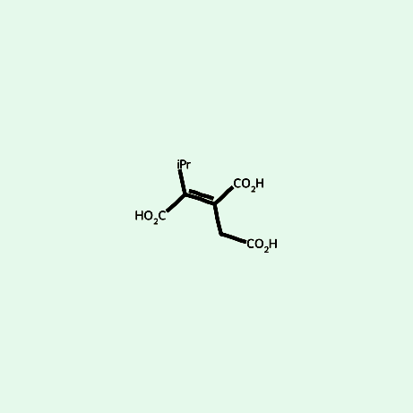 CC(C)/C(C(=O)O)=C(/CC(=O)O)C(=O)O